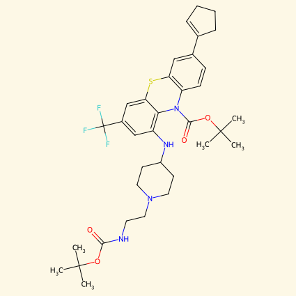 CC(C)(C)OC(=O)NCCN1CCC(Nc2cc(C(F)(F)F)cc3c2N(C(=O)OC(C)(C)C)c2ccc(C4=CCCC4)cc2S3)CC1